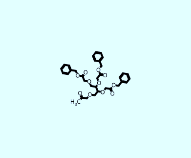 CC(=O)COCC(OCC(=O)OCc1ccccc1)C(COCC(=O)OCc1ccccc1)OCC(=O)OCc1ccccc1